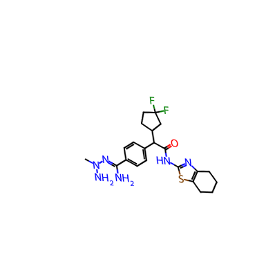 CN(N)/N=C(\N)c1ccc(C(C(=O)Nc2nc3c(s2)CCCC3)C2CCC(F)(F)C2)cc1